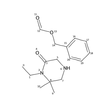 CCN1C(=O)CNCC1(C)C.O=COCc1ccccc1